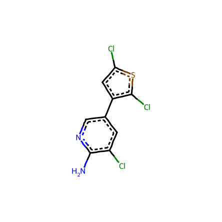 Nc1ncc(-c2cc(Cl)sc2Cl)cc1Cl